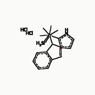 Cl.Cl.[CH3][Zr]([CH3])([CH3])([CH3])(=[SiH2])([c]1ccc[nH]1)[CH]1C=Cc2ccccc21